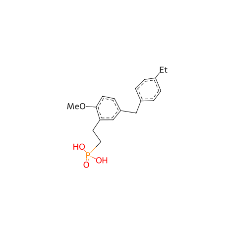 CCc1ccc(Cc2ccc(OC)c(CCP(=O)(O)O)c2)cc1